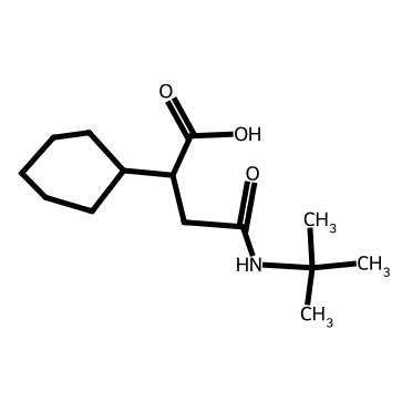 CC(C)(C)NC(=O)CC(C(=O)O)C1CCCCC1